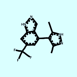 Cc1n[nH]c(C)c1-c1cc(C(F)(F)F)cc2[nH]ncc12